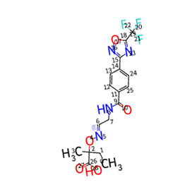 CCC(C)(O/N=C/CNC(=O)c1ccc(-c2noc(C(F)(F)F)n2)cc1)C(=O)O